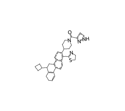 O=C(c1cc[nH]n1)N1CCC(c2ccc3c4c(ccc3c2C2=NCCS2)C2=C(CCC=C2)C(C2CCC2)C4)CC1